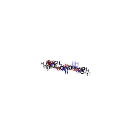 CC(C)(C)c1cc(NC(=O)Nc2ccc(NC(=O)c3ccc(OCCC4CC(C)(C)N(OS(C)(=O)=O)C(C)(C)C4)cn3)cc2)on1